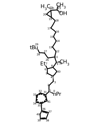 CCC[C@H](CC[C@H]1CC(CC)C([C@H](C)C(CCCCCCCC2C[C@@]2(C)C(C)O)CCCC(C)(C)C)C1)c1cccc(C2=CC=CC2)c1